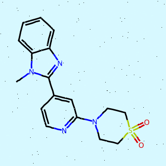 Cn1c(-c2ccnc(N3CCS(=O)(=O)CC3)c2)nc2ccccc21